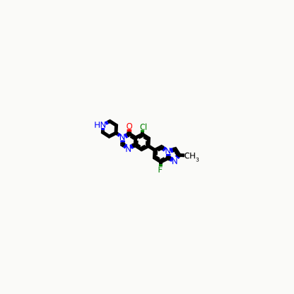 Cc1cn2cc(-c3cc(Cl)c4c(=O)n(C5CCNCC5)cnc4c3)cc(F)c2n1